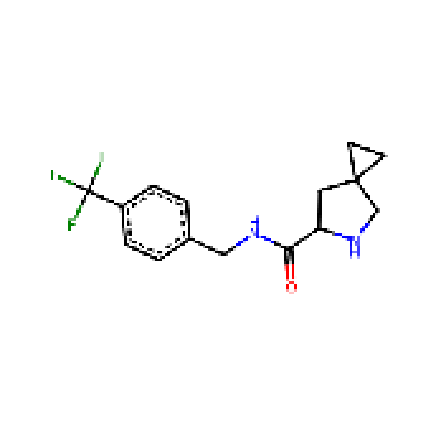 O=C(NCc1ccc(C(F)(F)F)cc1)C1CC2(CC2)CN1